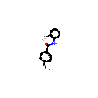 Cc1ccc(C(=O)Nc2ccccc2C(F)(F)F)cc1